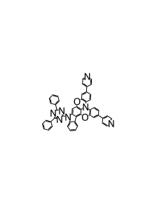 c1ccc(-c2nc(-c3ccccc3)nc(-n3c4ccccc4c4c5c6c(cc43)Oc3cc(-c4ccncc4)ccc3N6c3ccc(-c4ccncc4)cc3O5)n2)cc1